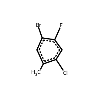 Cc1cc(Br)c(F)cc1Cl